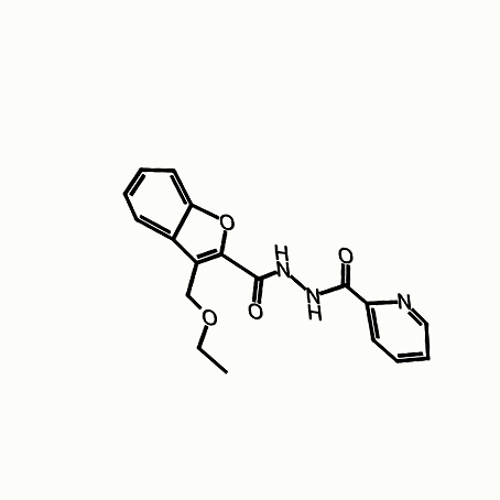 CCOCc1c(C(=O)NNC(=O)c2ccccn2)oc2ccccc12